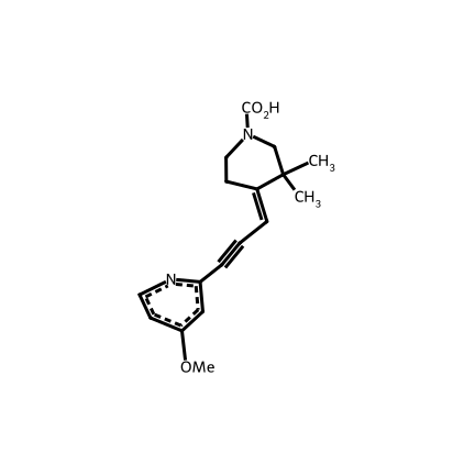 COc1ccnc(C#C/C=C2\CCN(C(=O)O)CC2(C)C)c1